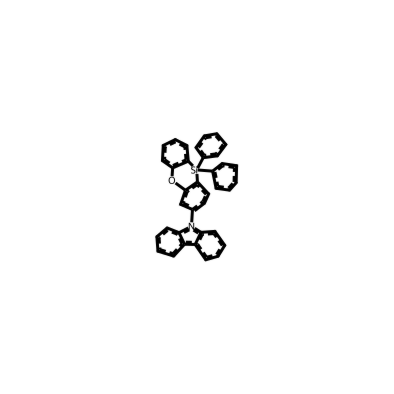 c1ccc([Si]2(c3ccccc3)c3ccccc3Oc3cc(-n4c5ccccc5c5ccccc54)ccc32)cc1